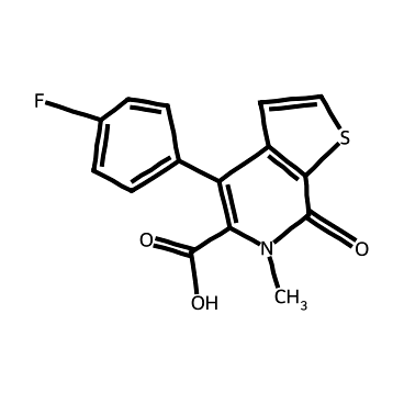 Cn1c(C(=O)O)c(-c2ccc(F)cc2)c2ccsc2c1=O